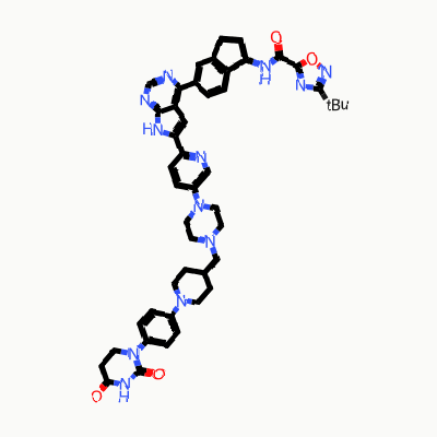 CC(C)(C)c1noc(C(=O)NC2CCc3cc(-c4ncnc5[nH]c(-c6ccc(N7CCN(CC8CCN(c9ccc(N%10CCC(=O)NC%10=O)cc9)CC8)CC7)cn6)cc45)ccc32)n1